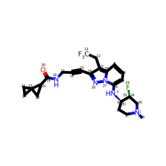 CN1CC[C@@H](Nc2cccc3c(CC(F)(F)F)c(C#CCNC(=O)C4CC45CC5)nn23)[C@@H](F)C1